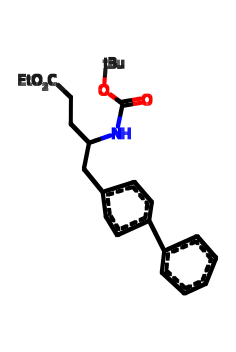 CCOC(=O)CCC(Cc1ccc(-c2ccccc2)cc1)NC(=O)OC(C)(C)C